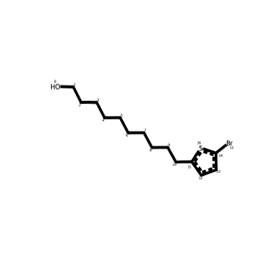 OCCCCCCCCCCc1ccc(Br)s1